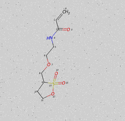 C=CC(=O)NCCOCC1CCOS1(=O)=O